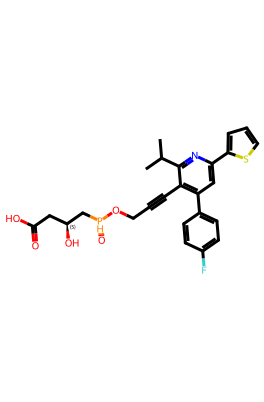 CC(C)c1nc(-c2cccs2)cc(-c2ccc(F)cc2)c1C#CCO[PH](=O)C[C@@H](O)CC(=O)O